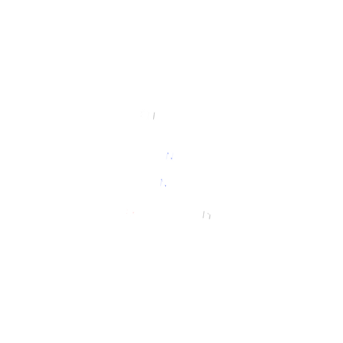 Cc1cc2occ(C(C)C)n2n1